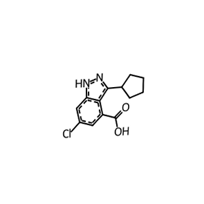 O=C(O)c1cc(Cl)cc2[nH]nc(C3CCCC3)c12